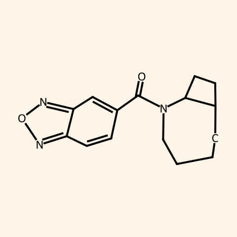 O=C(c1ccc2nonc2c1)N1CCCCC2CCC21